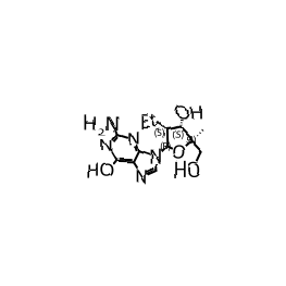 CC[C@@H]1[C@H](n2cnc3c(O)nc(N)nc32)O[C@](C)(CO)[C@H]1O